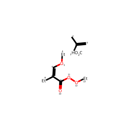 C=C(C)C(=O)O.CCOC=C(CC)C(=O)OOCC